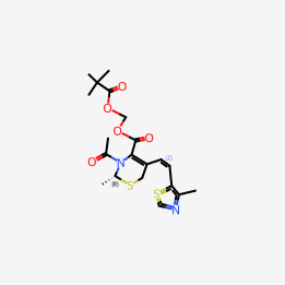 CC(=O)N1C(C(=O)OCOC(=O)C(C)(C)C)=C(/C=C\c2scnc2C)CS[C@@H]1C